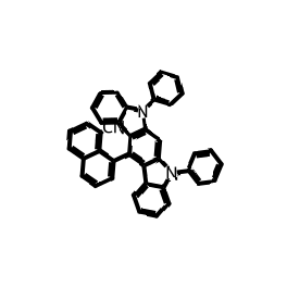 N#Cc1cccc2cccc(-c3c4c5ccccc5n(-c5ccccc5)c4cc4c3c3ccccc3n4-c3ccccc3)c12